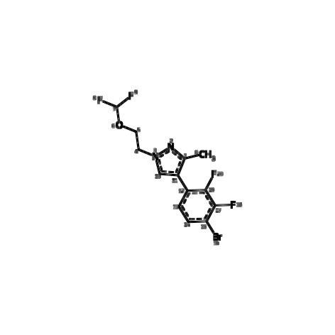 Cc1nn(CCOC(F)F)cc1-c1ccc(Br)c(F)c1F